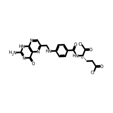 Nc1nc(=O)c2nc(CNc3ccc(C(=O)N[C@@H](CCC(=O)Cl)C(=O)Cl)cc3)cnc2[nH]1